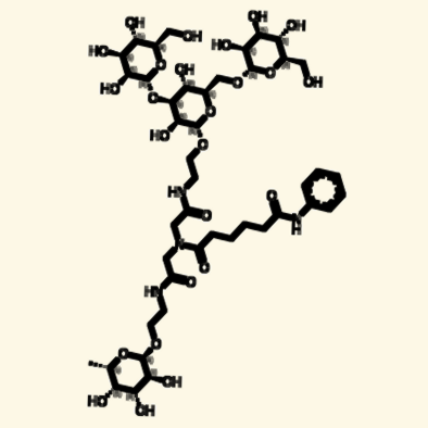 C[C@@H]1O[C@@H](OCCNC(=O)CN(CC(=O)NCCO[C@H]2O[C@H](CO[C@H]3O[C@H](CO)[C@@H](O)[C@H](O)[C@@H]3O)[C@@H](O)[C@H](O[C@H]3O[C@H](CO)[C@@H](O)[C@H](O)[C@@H]3O)[C@@H]2O)C(=O)CCCCC(=O)Nc2ccccc2)[C@@H](O)[C@H](O)[C@@H]1O